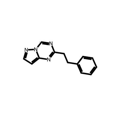 [c]1nc(CCc2ccccc2)nc2ccnn12